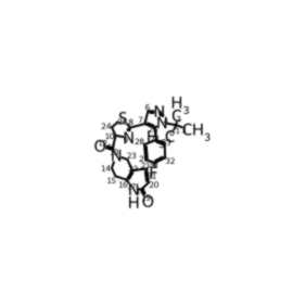 CC(C)(C)n1ncc(C2=NC(C(=O)N3CCc4[nH]c(=O)ccc4C3)CS2)c1-c1ccc(F)cc1